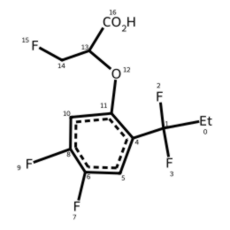 CCC(F)(F)c1cc(F)c(F)cc1OC(CF)C(=O)O